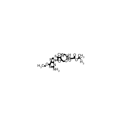 CCOC1=NC(N)=NC2C1N=CN2[C@@H]1OC2COP(=O)(NCC(=O)OC(C)C)OCOC2[C@]1(C)F